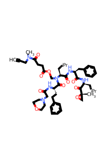 C#CCN(C)C(=O)CCC(=O)OCN(C(=O)[C@H](CCc1ccccc1)NC(=O)CN1CCOCC1)[C@@H](CC(C)C)C(=O)N[C@@H](Cc1ccccc1)C(=O)N[C@@H](CC(C)C)C(=O)[C@]1(C)CO1